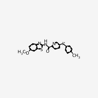 COc1ccc2nc(NC(=O)c3ccc([I+]c4ccc(C)cc4)cn3)sc2c1